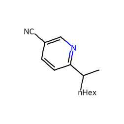 CCCCCCC(C)c1ccc(C#N)cn1